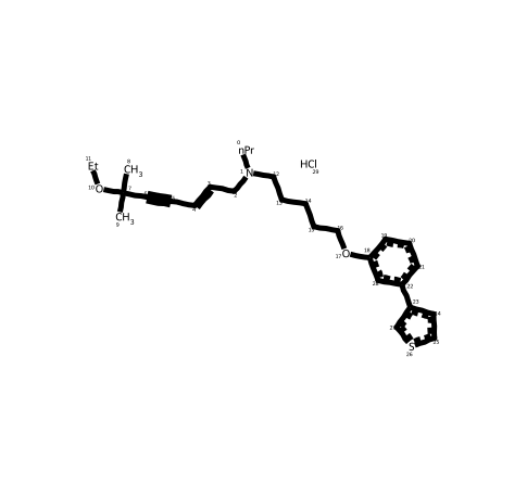 CCCN(C/C=C/C#CC(C)(C)OCC)CCCCCOc1cccc(-c2ccsc2)c1.Cl